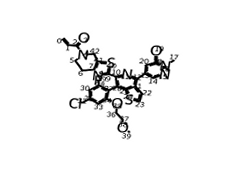 C=CC(=O)N1CCc2nc(-c3nc(-c4cnn(C)c(=O)c4)c4ccsc4c3-c3c(F)cc(Cl)cc3OCCOC)sc2C1